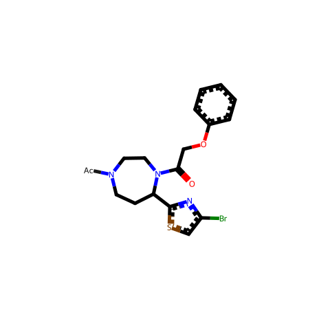 CC(=O)N1CCC(c2nc(Br)cs2)N(C(=O)COc2ccccc2)CC1